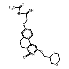 CC(=O)NC(=N)COc1ccc2c(c1)CCn1c-2cc(OCC2COCCO2)nc1=O